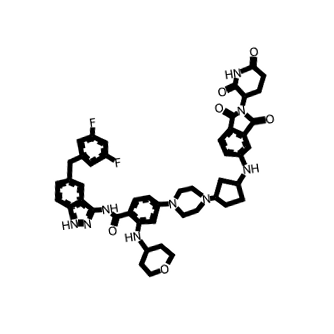 O=C1CCC(N2C(=O)c3ccc(NC4CCC(N5CCN(c6ccc(C(=O)Nc7n[nH]c8ccc(Cc9cc(F)cc(F)c9)cc78)c(NC7CCOCC7)c6)CC5)C4)cc3C2=O)C(=O)N1